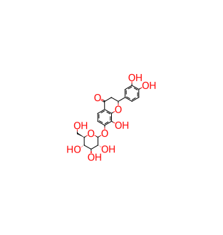 O=C1CC(c2ccc(O)c(O)c2)Oc2c1ccc(OC1O[C@H](CO)[C@@H](O)[C@H](O)[C@H]1O)c2O